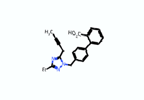 CC#CCc1nc(CC)nn1Cc1ccc(-c2ccccc2C(=O)O)cc1